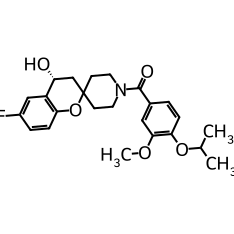 COc1cc(C(=O)N2CCC3(CC2)C[C@@H](O)c2cc(F)ccc2O3)ccc1OC(C)C